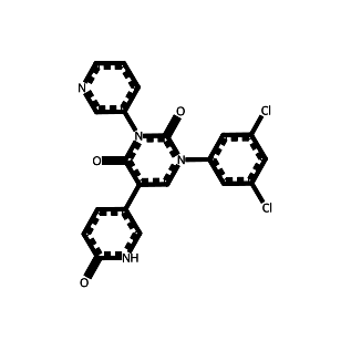 O=c1ccc(-c2cn(-c3cc(Cl)cc(Cl)c3)c(=O)n(-c3cccnc3)c2=O)c[nH]1